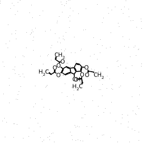 C=CC(=O)Oc1cc2c(cc1OC(=O)C=C)C(C)c1c-2ccc(OC(=O)C=C)c1OC(=O)C=C